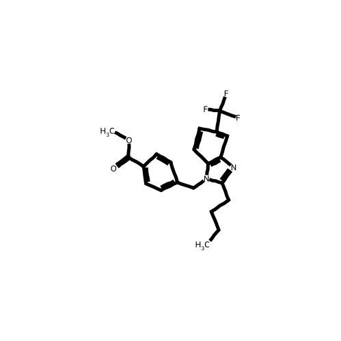 CCCCc1nc2cc(C(F)(F)F)ccc2n1Cc1ccc(C(=O)OC)cc1